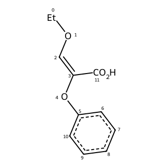 CCO/C=C(/Oc1ccccc1)C(=O)O